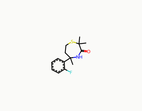 CC1(C)SCCC(C)(c2ccccc2F)NC1=O